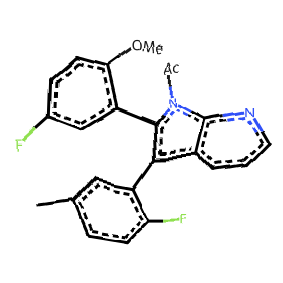 COc1ccc(F)cc1-c1c(-c2cc(C)ccc2F)c2cccnc2n1C(C)=O